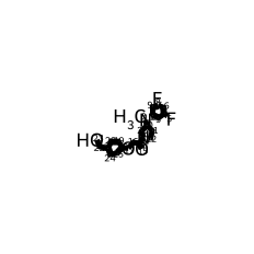 CN(c1cc(F)cc(F)c1)C1CCN(C(=O)COc2ccc(CO)cc2)C1